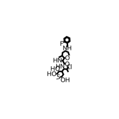 CSC(O)CC(C(O)CO)C(NC(=O)C1NCC2CC(NCc3ccccc3F)CCOC21)C(C)Cl